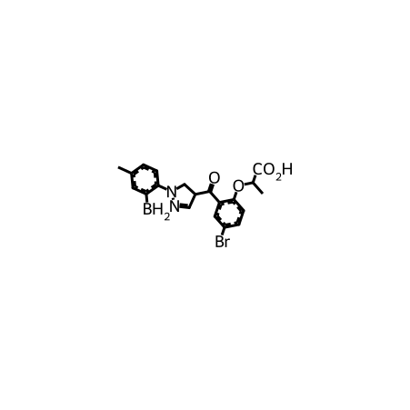 Bc1cc(C)ccc1N1CC(C(=O)c2cc(Br)ccc2OC(C)C(=O)O)C=N1